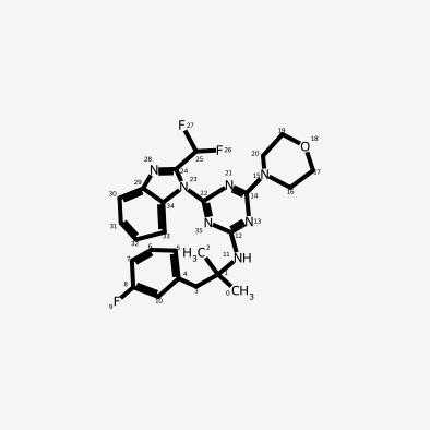 CC(C)(Cc1cccc(F)c1)Nc1nc(N2CCOCC2)nc(-n2c(C(F)F)nc3ccccc32)n1